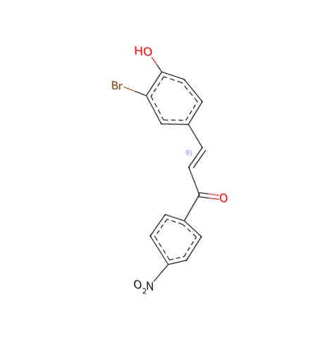 O=C(/C=C/c1ccc(O)c(Br)c1)c1ccc([N+](=O)[O-])cc1